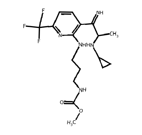 COC(=O)NCCCNc1nc(C(F)(F)F)ccc1C(=N)C(C)NC1CC1